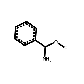 CCOC(N)c1ccccc1